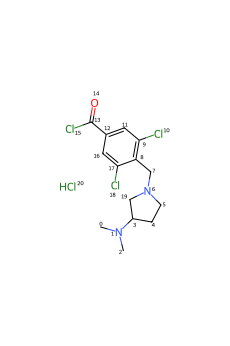 CN(C)C1CCN(Cc2c(Cl)cc(C(=O)Cl)cc2Cl)C1.Cl